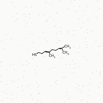 CC(C)=CCC/C(C)=C/CCS